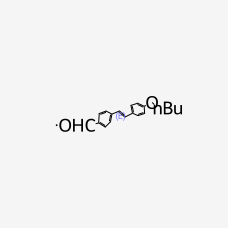 CCCCOc1ccc(/C=C/c2ccc([C]=O)cc2)cc1